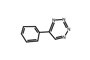 [c]1ccc(-c2cnnnn2)cc1